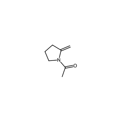 C=C1CCCN1C(C)=O